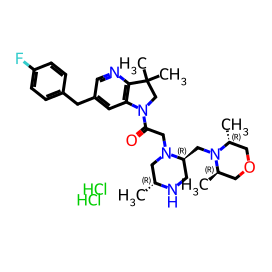 C[C@@H]1CN(CC(=O)N2CC(C)(C)c3ncc(Cc4ccc(F)cc4)cc32)[C@@H](CN2[C@H](C)COC[C@H]2C)CN1.Cl.Cl